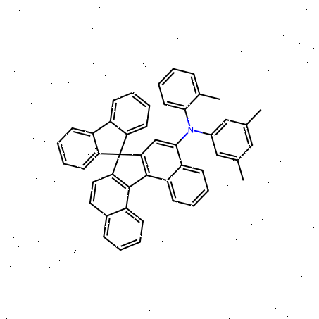 Cc1cc(C)cc(N(c2ccccc2C)c2cc3c(c4ccccc24)-c2c(ccc4ccccc24)C32c3ccccc3-c3ccccc32)c1